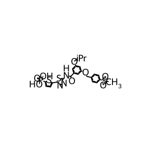 CC(C)Oc1cc(OCc2ccc(S(C)(=O)=O)cc2)cc(C(=O)Nc2nnc(-c3ccc(P(=O)(O)O)s3)s2)c1